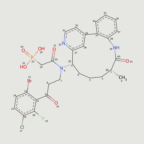 C[C@@H]1CCC[C@H](N(CCC(=O)c2c(Br)ccc(Cl)c2F)C(=O)CP(=O)(O)O)c2cc(ccn2)-c2ccccc2NC1=O